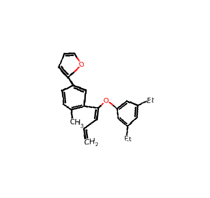 C=C/C=C(/Oc1cc(CC)cc(CC)c1)c1cc(-c2ccco2)ccc1C